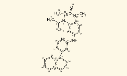 CC(C)N1c2cc(Nc3nccc(-c4cccc5cnccc45)n3)ccc2N(C)C(=O)[C@H]1C